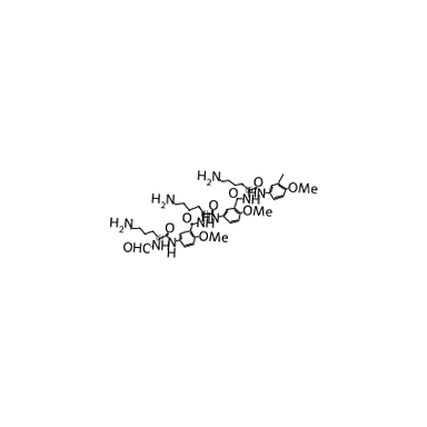 COc1ccc(NC(=O)[C@H](CCCCN)NC(=O)c2cc(NC(=O)[C@H](CCCCN)NC(=O)c3cc(NC(=O)[C@H](CCCCN)NC=O)ccc3OC)ccc2OC)cc1C